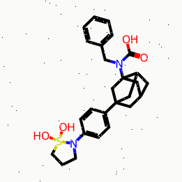 O=C(O)N(Cc1ccccc1)C12CC3CC1CC(c1ccc(N4CCCS4(O)O)cc1)(C3)C2